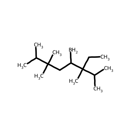 BC(CC(C)(C)C(C)C)C(C)(CC)C(C)C